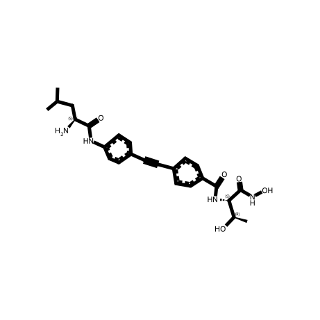 CC(C)C[C@H](N)C(=O)Nc1ccc(C#Cc2ccc(C(=O)N[C@H](C(=O)NO)[C@@H](C)O)cc2)cc1